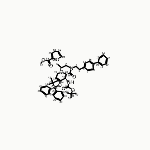 CCCN(CCc1ccc(-c2ccccc2)cc1)C(=O)[C@@H]1OCC=C(O[Si](c2ccccc2)(c2ccccc2)C(C)(C)C)[C@H]1NC(=O)OC(C)(C)C.COC(=O)C1=CCC=CO1